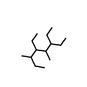 CCC(C)C(CC)C(C)C(CC)CC